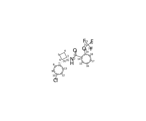 O=C(N[C@H]1CC[C@H]1c1ccc(Cl)cc1)c1ccccc1OC(F)(F)F